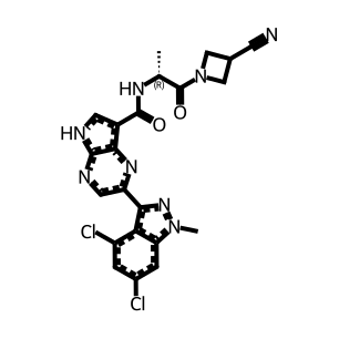 C[C@@H](NC(=O)c1c[nH]c2ncc(-c3nn(C)c4cc(Cl)cc(Cl)c34)nc12)C(=O)N1CC(C#N)C1